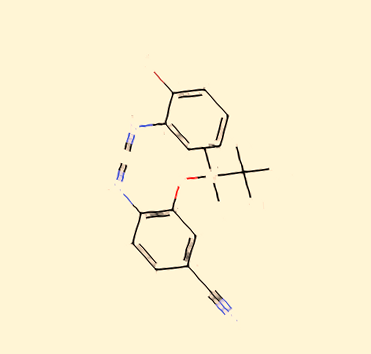 CC(C)(C)[Si](C)(C)Oc1cc(C#N)ccc1N=C=Nc1ccccc1Br